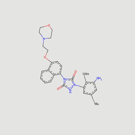 COc1c(N)cc(C(C)(C)C)cc1-n1[nH]c(=O)n(-c2ccc(OCCN3CCOCC3)c3ccccc23)c1=O